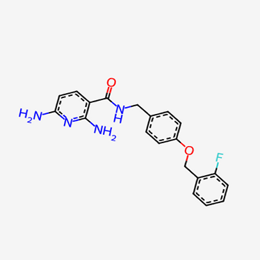 Nc1ccc(C(=O)NCc2ccc(OCc3ccccc3F)cc2)c(N)n1